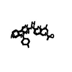 CC(=O)N1Cc2ccc(Nc3ncc4c5ccncc5n(C5CCC(C)CC5)c4n3)nc2[C@@H](C)C1